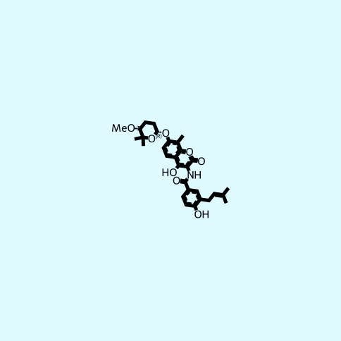 CO[C@@H]1CC[C@H](Oc2ccc3c(O)c(NC(=O)c4ccc(O)c(CC=C(C)C)c4)c(=O)oc3c2C)OC1(C)C